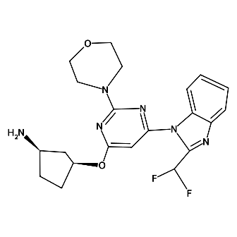 N[C@@H]1CC[C@H](Oc2cc(-n3c(C(F)F)nc4ccccc43)nc(N3CCOCC3)n2)C1